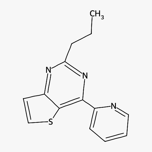 CCCc1nc(-c2ccccn2)c2sccc2n1